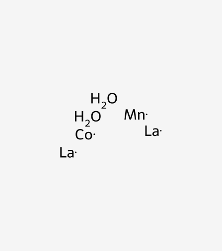 O.O.[Co].[La].[La].[Mn]